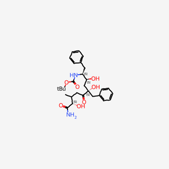 CC(CC(=O)[C@](O)(Cc1ccccc1)C[C@H](O)[C@H](Cc1ccccc1)NC(=O)OC(C)(C)C)[C@H](O)C(N)=O